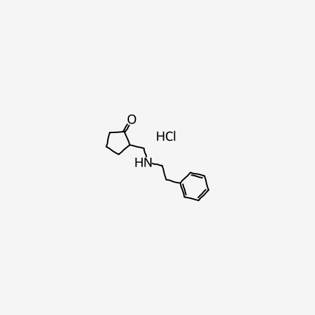 Cl.O=C1CCCC1CNCCc1ccccc1